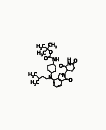 CC(C)CCN(c1cccc2c1CN(C1CCC(=O)NC1=O)C2=O)C1CCC(NC(=O)OC(C)(C)C)CC1